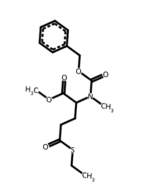 CCSC(=O)CCC(C(=O)OC)N(C)C(=O)OCc1ccccc1